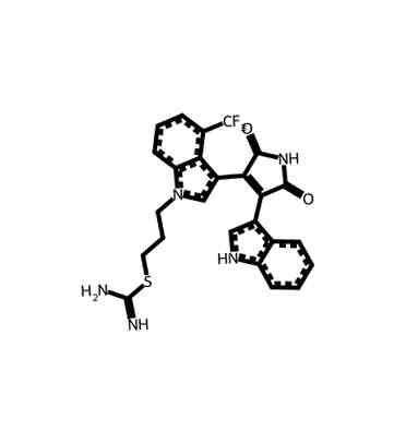 N=C(N)SCCCn1cc(C2=C(c3c[nH]c4ccccc34)C(=O)NC2=O)c2c(C(F)(F)F)cccc21